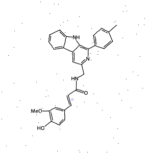 COc1cc(/C=C/C(=O)NCc2cc3c([nH]c4ccccc43)c(-c3ccc(C)cc3)n2)ccc1O